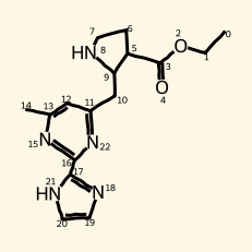 CCOC(=O)C1CCNC1Cc1cc(C)nc(-c2ncc[nH]2)n1